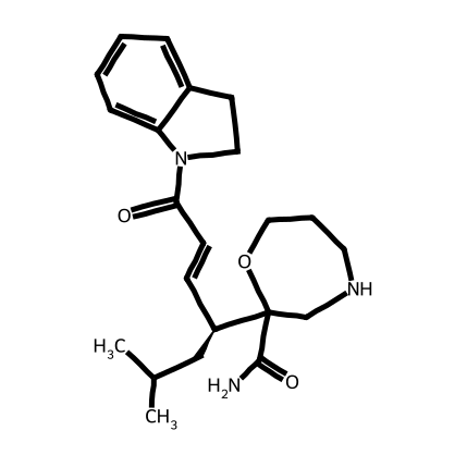 CC(C)C[C@@H](/C=C/C(=O)N1CCc2ccccc21)C1(C(N)=O)CNCCCO1